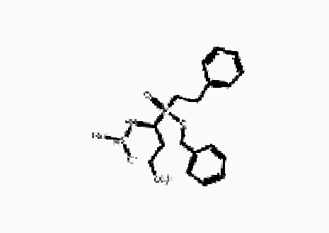 CC(C)(C)[S@+]([O-])NC(CCC(=O)O)P(=O)(CCc1ccccc1)OCc1ccccc1